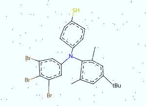 Cc1cc(C(C)(C)C)cc(C)c1N(c1ccc(S)cc1)c1cc(Br)c(Br)c(Br)c1